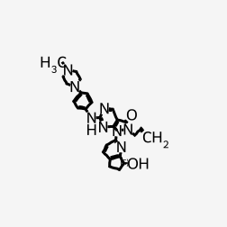 C=CCn1c(=O)c2cnc(Nc3ccc(N4CCN(C)CC4)cc3)nc2n1-c1ccc2c(n1)[C@@H](O)CC2